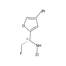 CC(C)c1coc([C@@H](CF)NCl)c1